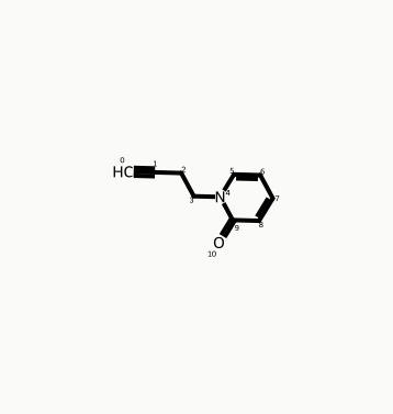 C#CCCn1ccccc1=O